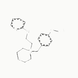 COc1ccc(C[N+]2(CCNc3ccccn3)CCCCC2)cc1